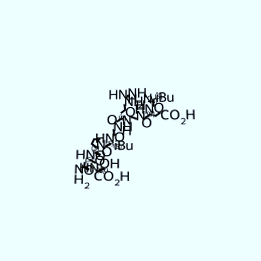 CC[C@H](C)[C@H](N)C(=O)N[C@@H](CCC(=O)O)C(=O)NCC(=O)N[C@@H](CCCNC(=N)N)C(=O)NCC(=O)N[C@H](C(=O)N1CCC[C@H]1C(=O)N[C@@H](CC(N)=O)C(=O)N[C@H](C(=O)O)[C@@H](C)O)[C@@H](C)CC